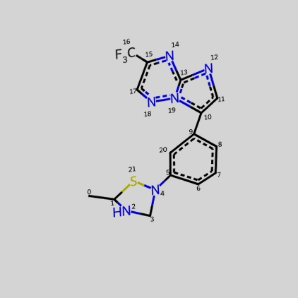 CC1NCN(c2cccc(-c3cnc4nc(C(F)(F)F)cnn34)c2)S1